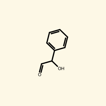 O=C[C](O)c1ccccc1